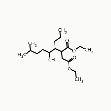 CCCC(C(C)CCC(C)C)C(CC(=O)OCC)C(=O)OCC